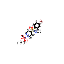 CCCCOC(=O)N1CCC(S(=O)(=NCC)c2ccc(Br)cc2)CC1